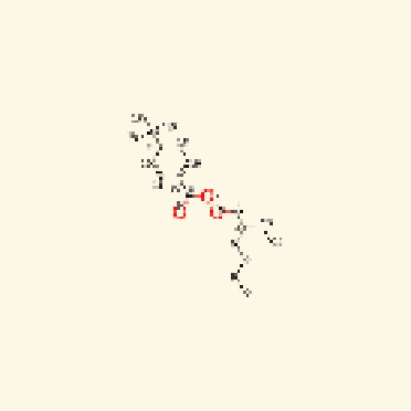 CCCCC([CH]OOC(=O)c1ccc(C(C)(C)C)cc1)CC